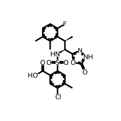 Cc1cc(S(=O)(=O)N[C@H](c2n[nH]c(=O)o2)[C@H](C)c2c(F)ccc(C)c2C)c(C(=O)O)cc1Cl